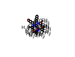 CC(C)(C)c1cc(-c2cc(-c3cc4c5c(c3)N(c3cc(C(C)(C)C)cc(C(C)(C)C)c3)c3cc6cc7ccccc7cc6cc3B5c3cc5cc6ccccc6cc5cc3N4c3cc(C(C)(C)C)cc(C(C)(C)C)c3)cc(-c3cc(C(C)(C)C)cc(C(C)(C)C)c3)n2)cc(C(C)(C)C)c1